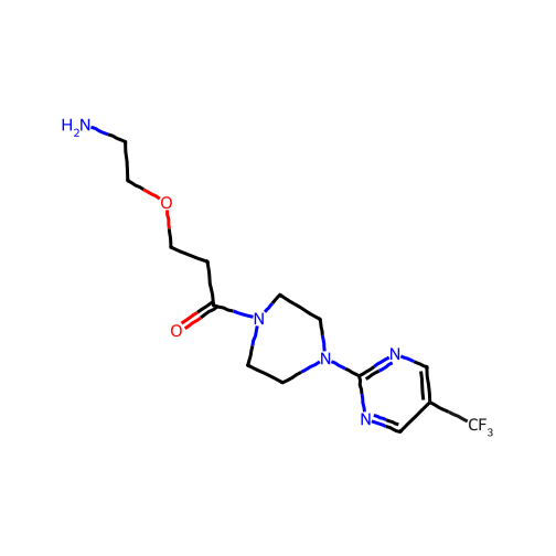 NCCOCCC(=O)N1CCN(c2ncc(C(F)(F)F)cn2)CC1